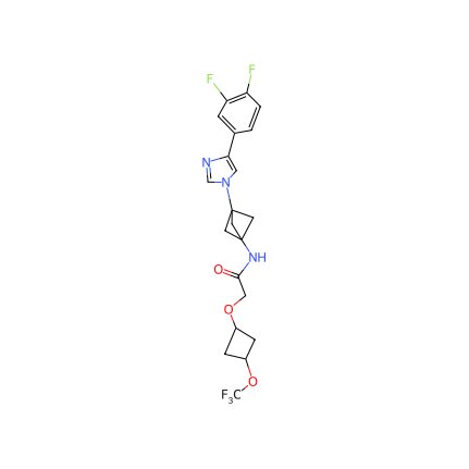 O=C(COC1CC(OC(F)(F)F)C1)NC12CC(n3cnc(-c4ccc(F)c(F)c4)c3)(C1)C2